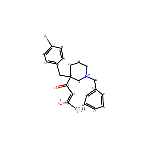 O=C(O)C(O)=CC(=O)C1(Cc2ccc(Cl)cc2)CCCN(Cc2ccccc2)C1